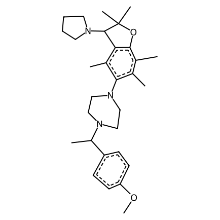 COc1ccc(C(C)N2CCN(c3c(C)c(C)c4c(c3C)C(N3CCCC3)C(C)(C)O4)CC2)cc1